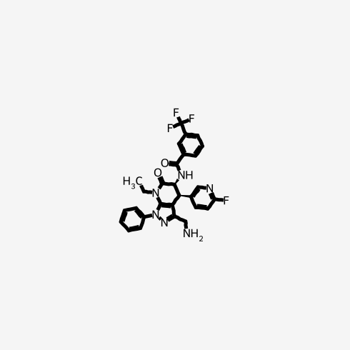 CCN1C(=O)[C@@H](NC(=O)c2cccc(C(F)(F)F)c2)[C@@H](c2ccc(F)nc2)c2c(CN)nn(-c3ccccc3)c21